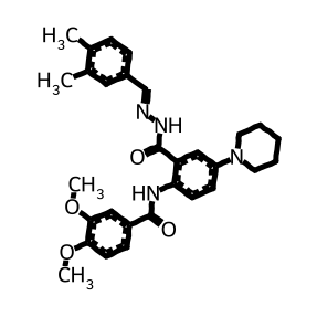 COc1ccc(C(=O)Nc2ccc(N3CCCCC3)cc2C(=O)NN=Cc2ccc(C)c(C)c2)cc1OC